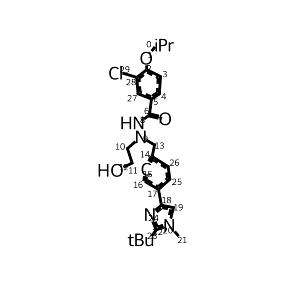 CC(C)Oc1ccc(C(=O)NN(CCO)Cc2ccc(-c3cn(C)c(C(C)(C)C)n3)cc2)cc1Cl